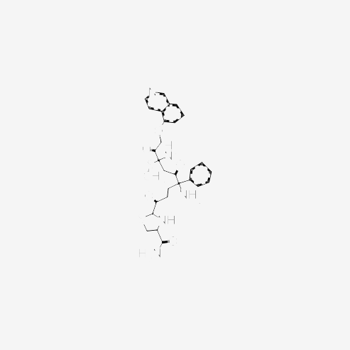 CSC(N)(CC(=O)C(N)(CCC(=O)C1NC(C(N)=O)CS1)c1ccccc1)C(=O)COc1cccc2cnccc12